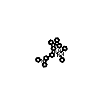 c1ccc(-c2nc(-c3ccccc3)nc(-n3c4ccc(-c5ccc6c(c5)c5ccccc5n6-c5ccccc5)cc4c4cc5c(cc43)C(c3ccccc3)(c3ccccc3)c3ccccc3-5)n2)cc1